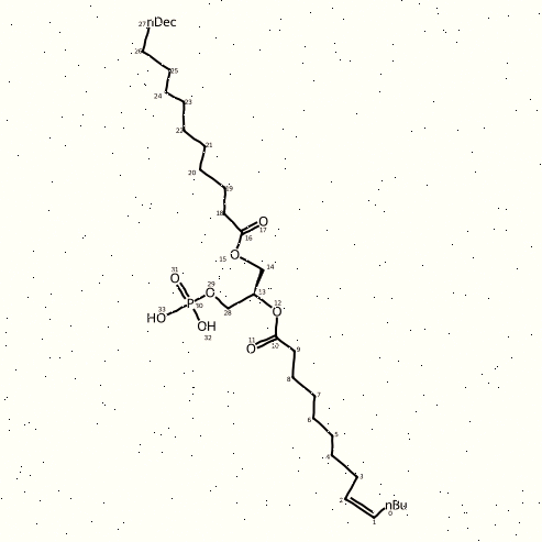 CCCC/C=C\CCCCCCCC(=O)O[C@H](COC(=O)CCCCCCCCCCCCCCCCCCC)COP(=O)(O)O